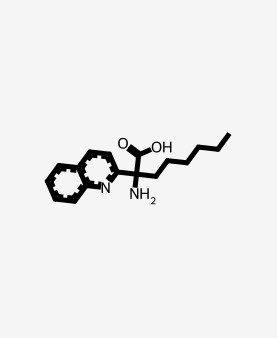 CCCCCCC(N)(C(=O)O)c1ccc2ccccc2n1